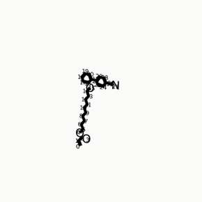 C=CC(=O)OCCCCCCCCCCOc1ccccc1-c1ccc(C#N)cc1